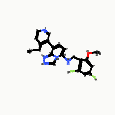 CCc1ccncc1-c1ccc(NCc2c(F)cc(F)cc2OC)n2cnnc12